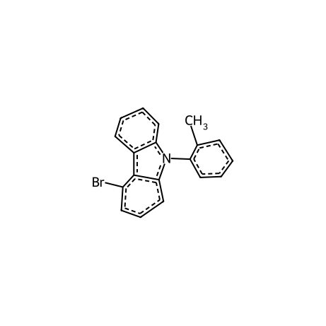 Cc1ccccc1-n1c2ccccc2c2c(Br)cccc21